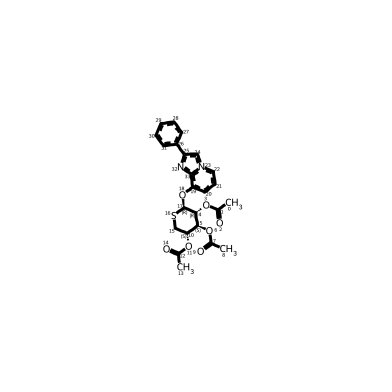 CC(=O)O[C@@H]1[C@@H](OC(C)=O)[C@H](OC(C)=O)CS[C@H]1Oc1cccn2cc(-c3ccccc3)nc12